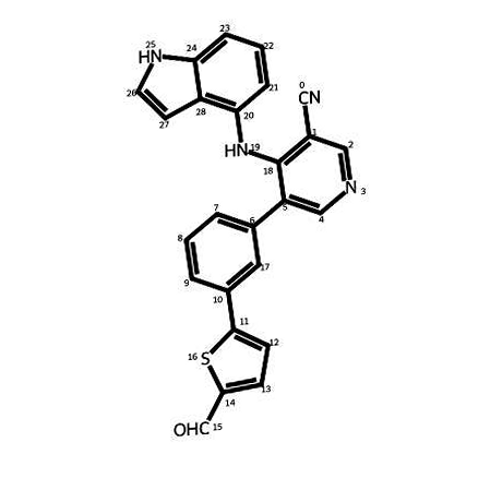 N#Cc1cncc(-c2cccc(-c3ccc(C=O)s3)c2)c1Nc1cccc2[nH]ccc12